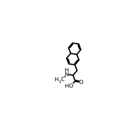 CNC(CC1=CC2C=CC=CC2C=C1)C(=O)O